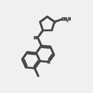 Cc1cccc2c(NC3CCN(C(=O)O)C3)ccnc12